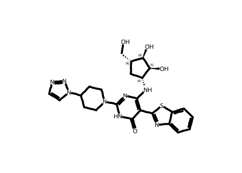 O=c1[nH]c(N2CCC(n3ccnn3)CC2)nc(N[C@@H]2C[C@H](CO)[C@@H](O)[C@H]2O)c1-c1nc2ccccc2s1